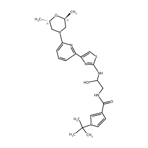 C[C@H]1CN(c2cccc(-c3csc(NC(O)CNC(=O)c4ccn(C(C)(C)C)c4)n3)n2)C[C@H](C)O1